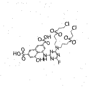 O=S(=O)(CCCl)CCCN(CCCS(=O)(=O)CCCl)c1nc(F)nc(Nc2cc(S(=O)(=O)O)cc3cc(S(=O)(=O)O)cc(O)c23)n1